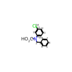 O=C(O)N(Cc1ccccc1)c1cccc(Cl)c1